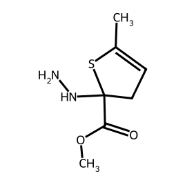 COC(=O)C1(NN)CC=C(C)S1